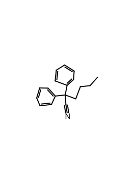 CCCCC(C#N)(c1ccccc1)c1ccccc1